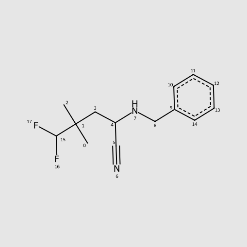 CC(C)(CC(C#N)NCc1ccccc1)C(F)F